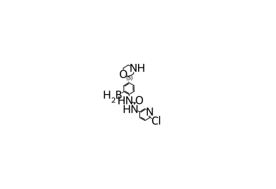 Bc1cc([C@H]2CNCCO2)ccc1NC(=O)Nc1ccc(Cl)nc1